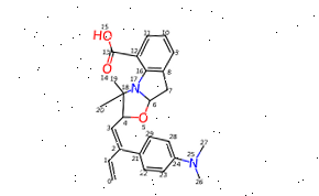 C=CC(=CC1OC2Cc3cccc(C(=O)O)c3N2C1(C)C)c1ccc(N(C)C)cc1